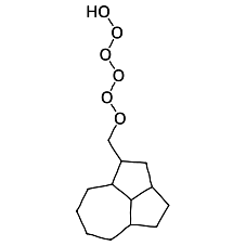 OOOOOOCC1CC2CCC3CCCCC1C32